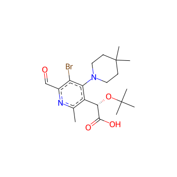 Cc1nc(C=O)c(Br)c(N2CCC(C)(C)CC2)c1[C@H](OC(C)(C)C)C(=O)O